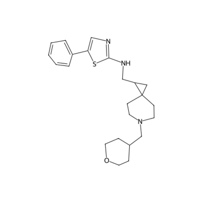 c1ccc(-c2cnc(NCC3CC34CCN(CC3CCOCC3)CC4)s2)cc1